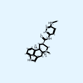 CNc1ccc(NC(=O)[C@@H]2C[C@@H]3c4cccc5[nH]cc(c45)C[C@H]3N(C)C2)nn1